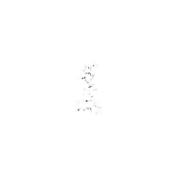 O=C([C@@H]1CCC(F)(F)C[C@H]1c1ccccc1)N1CCC(O)(Cn2cnc3c(ccn3C3CC3)c2=O)CC1